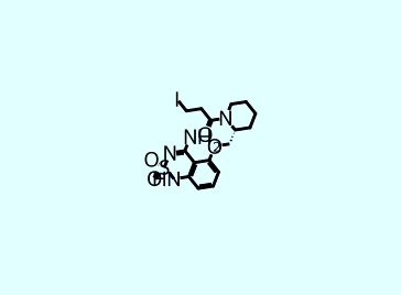 NC1=NS(=O)(=O)Nc2cccc(OC[C@H]3CCCCN3C(=O)CCI)c21